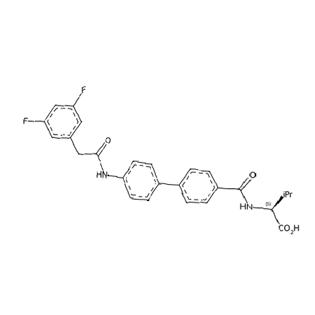 CC(C)[C@H](NC(=O)c1ccc(-c2ccc(NC(=O)Cc3cc(F)cc(F)c3)cc2)cc1)C(=O)O